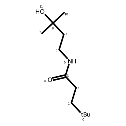 CC(C)(C)CCC(=O)NCCC(C)(C)O